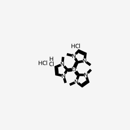 Cl.Cl.Cl.Cn1ccn(C)[c]1=[Er](=[c]1n(C)ccn1C)=[c]1n(C)ccn1C